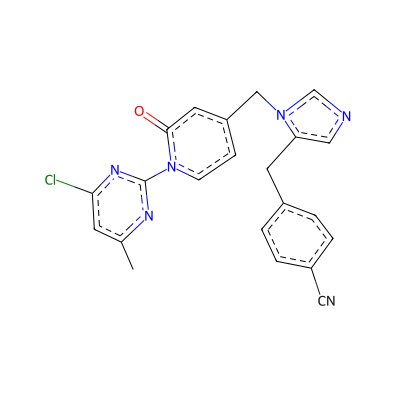 Cc1cc(Cl)nc(-n2ccc(Cn3cncc3Cc3ccc(C#N)cc3)cc2=O)n1